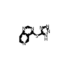 c1cc2ncnc(Sc3nnn[nH]3)c2cn1